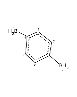 Bc1[c]cc(B)[c]c1